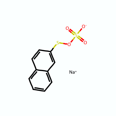 O=S(=O)([O-])OSc1ccc2ccccc2c1.[Na+]